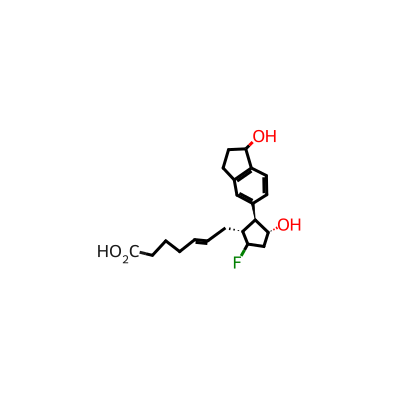 O=C(O)CCCC=CC[C@H]1C(F)C[C@@H](O)[C@@H]1c1ccc2c(c1)CCC2O